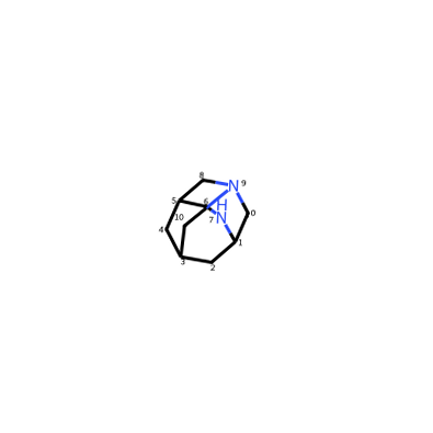 [CH]1C2CC3CC(CN2)CN1C3